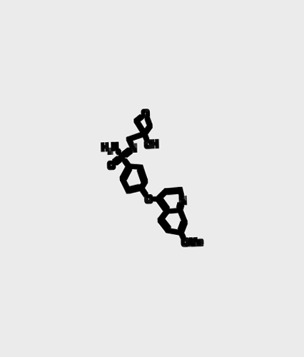 COc1ccc2c(Oc3ccc(S(N)(=O)=NCC4(O)COC4)cc3)ccnc2c1